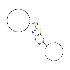 B(c1nc2cnc(C3CCCCCCCCCCC3)cc2s1)C1CCCCCCCCCCCCCC1